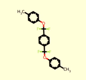 Cc1ccc(OC(F)(F)c2ccc(C(F)(F)Oc3ccc(C)cc3)cc2)cc1